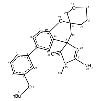 CCCCOc1cccc(-c2ccc3c(c2)C2(CC4(CCCOC4)O3)N=C(N)N(C)C2=O)c1